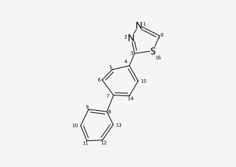 [c]1nnc(-c2ccc(-c3ccccc3)cc2)s1